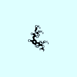 C=CCN(C(N)=O)C(=O)C(Cl)=Cc1cc(-c2nn(C)c(OC(F)F)c2Cl)c(Cl)cc1Cl